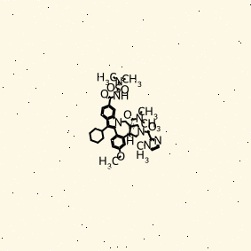 COc1ccc2c(c1)[C@H]1CN(C(=O)c3nccn3C)C[C@]1(C(=O)N(C)C)Cn1c-2c(C2CCCCC2)c2ccc(C(=O)NS(=O)(=O)N(C)C)cc21